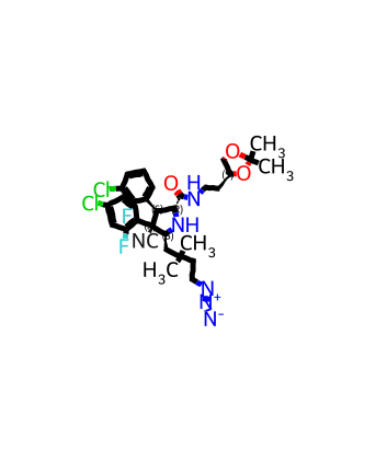 CC(C)(CCN=[N+]=[N-])C[C@@H]1N[C@@H](C(=O)NCC[C@H]2COC(C)(C)O2)[C@H](c2cccc(Cl)c2F)[C@@]1(C#N)c1ccc(Cl)cc1F